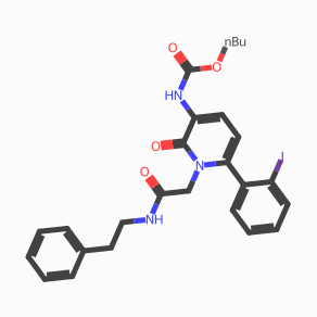 CCCCOC(=O)Nc1ccc(-c2ccccc2I)n(CC(=O)NCCc2ccccc2)c1=O